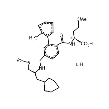 CCSCC(CC1CCCCC1)NCc1ccc(C(=O)N[C@@H](CCSC)C(=O)O)c(-c2ccccc2C)c1.[LiH]